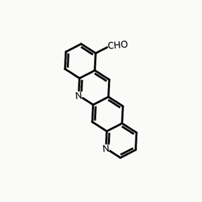 O=Cc1cccc2nc3cc4ncccc4cc3cc12